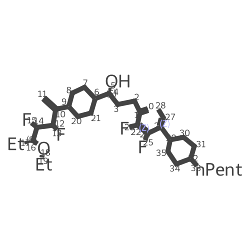 C=C(CC[C@H](O)C1CCC(C(=C)C(F)C(F)[C@H](CC)OCC)CC1)/C(F)=C(F)\C(=C/C)C1CCC(CCCCC)CC1